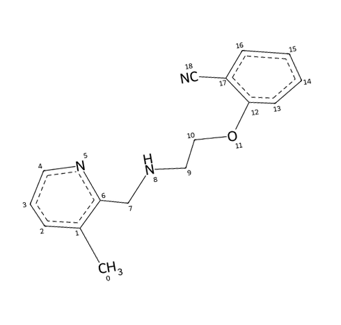 Cc1cccnc1CNCCOc1ccccc1C#N